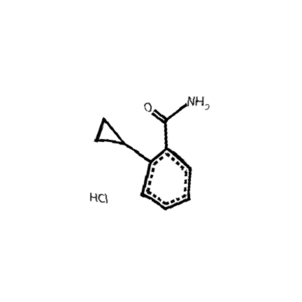 Cl.NC(=O)c1ccccc1C1CC1